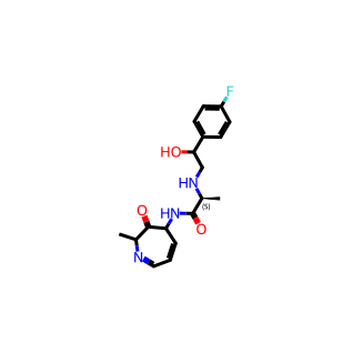 CC1N=CC=CC(NC(=O)[C@H](C)NCC(O)c2ccc(F)cc2)C1=O